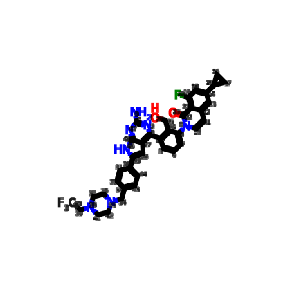 Nc1nc(-c2cccc(-n3ccc4cc(C5CC5)cc(F)c4c3=O)c2CO)c2cc(-c3ccc(CN4CCN(CC(F)(F)F)CC4)cc3)[nH]c2n1